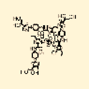 CCc1nc(C(=O)N[C@@H]2CCN(c3nnc([C@@H](O)CO)s3)C[C@@H]2OC)n(COP(=O)(OCn2c(C(=O)N[C@@H]3CCN(c4nnc([C@@H](O)CO)s4)C[C@@H]3OC)nc(CC)c2Cl)OCn2c(C(=O)N[C@@H]3CCN(c4nnc([C@@H](O)CO)s4)C[C@@H]3OC)nc(CC)c2Cl)c1Cl